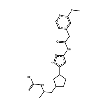 COc1cc(CC(=O)Nc2cc(C3CCC(CC(C)NC(=O)O)C3)[nH]n2)ccn1